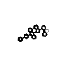 c1ccc(-c2ccc(-c3c4ccccc4c(-c4ccc(-c5cccc6oc7ccccc7c56)c5ccccc45)c4ccccc34)cc2)cc1